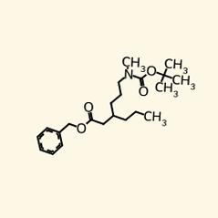 CCCC(CCCN(C)C(=O)OC(C)(C)C)CC(=O)OCc1ccccc1